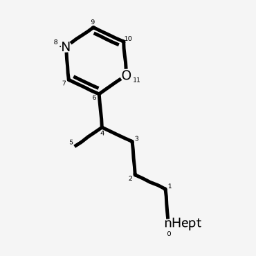 CCCCCCCCCCC(C)C1=C[N]C=CO1